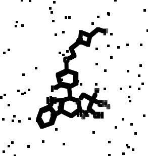 C[C@@H]1Cc2c([nH]c3ccccc23)C(c2ccc(OCCN3CC(CF)C3)cc2F)N1CC(C)(F)CO